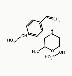 C=Cc1ccccc1.CC1CNCCO1.O=S(=O)(O)O.O=S(=O)(O)O